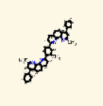 Cc1cc(-c2ccccc2)c2ccc3ccc(-c4ccc(-c5ccc6ccc7c(-c8ccccc8)cc(C)nc7c6n5)c(C)c4)nc3c2n1